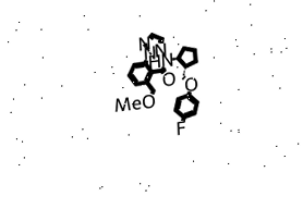 COCc1cccc(-n2nccn2)c1C(=O)N[C@H]1CCC[C@@H]1COc1ccc(F)cc1